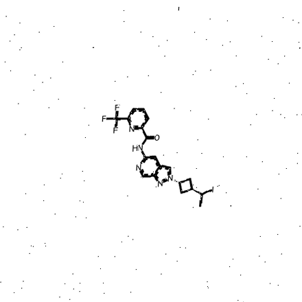 CC(I)[C@H]1C[C@H](n2cc3cc(NC(=O)c4cccc(C(F)(F)F)n4)ncc3n2)C1